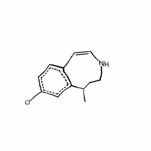 CC1CNC=Cc2ccc(Cl)cc21